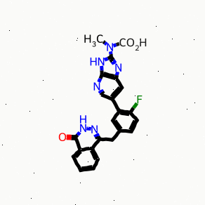 CN(C(=O)O)c1nc2cc(-c3cc(Cc4n[nH]c(=O)c5ccccc45)ccc3F)cnc2[nH]1